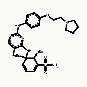 CCCCC1C(S(N)(=O)=O)=CC=CC1(CCCC)Nc1nc(Nc2ccc(OCCN3CCCC3)cc2)ncc1C